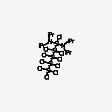 CC(C)N(C(C)C)[Si](Cl)(N(C(C)C)C(C)C)[Si](Cl)(Cl)[Si](Cl)(Cl)[Si](Cl)(Cl)[Si](Cl)(Cl)Cl